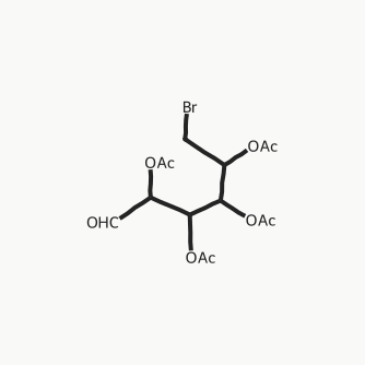 CC(=O)OC(C=O)C(OC(C)=O)C(OC(C)=O)C(CBr)OC(C)=O